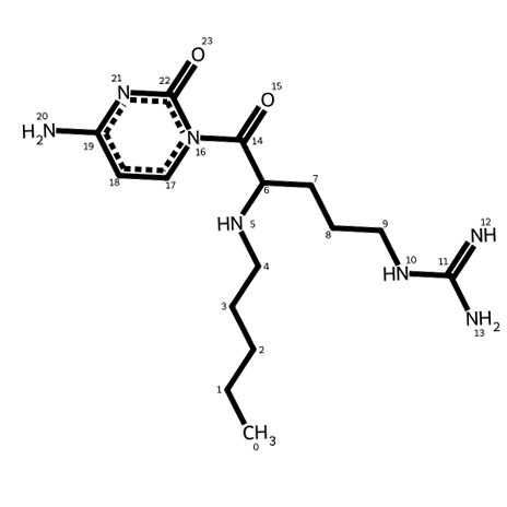 CCCCCNC(CCCNC(=N)N)C(=O)n1ccc(N)nc1=O